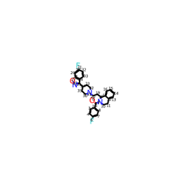 O=C(c1ccc(F)cc1)N1CCc2ccccc2C1CCN1CCC(c2noc3cc(F)ccc23)CC1